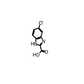 O=C(O)c1nc2cc(Cl)ccc2[nH]1